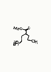 COC(=O)C(CCO)CCC(C)C